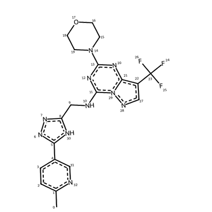 Cc1ccc(-c2nnc(CNc3nc(N4CCOCC4)nc4c(C(F)(F)F)cnn34)[nH]2)cn1